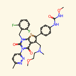 COCCN(C)Cc1c(-c2ccc(NC(=O)NOC)cc2)sc2c1c(=O)n(-c1ccc(C)nn1)c(=O)n2Cc1c(F)cccc1F